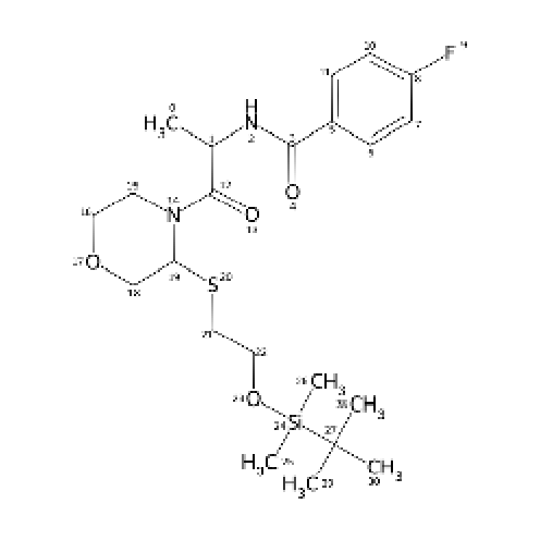 CC(NC(=O)c1ccc(F)cc1)C(=O)N1CCOCC1SCCO[Si](C)(C)C(C)(C)C